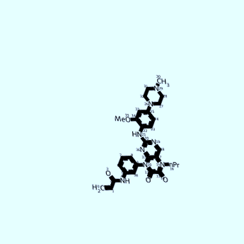 C=CC(=O)Nc1cccc(-n2c(=O)c(=O)n(CCC)c3cnc(Nc4ccc(N5CCN(C)CC5)cc4OC)nc32)c1